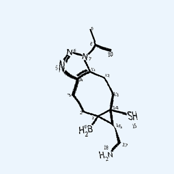 BC12CCc3nnn(C(C)C)c3CCC1(S)[C@H]2CN